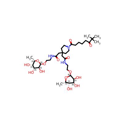 C[C@@H]1O[C@@H](OCCNC(=O)CC2(CC(=O)NCCO[C@@H]3O[C@@H](C)[C@@H](O)[C@@H](O)[C@@H]3O)CCN(C(=O)CCCCC(=O)C(C)(C)C)CC2)[C@@H](O)[C@H](O)[C@@H]1O